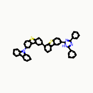 c1ccc(C2=NC(c3ccc4sc5c(-c6ccc7sc8ccc(-n9c%10ccccc%10c%10ccccc%109)cc8c7c6)cccc5c4c3)NC(c3ccccc3)=N2)cc1